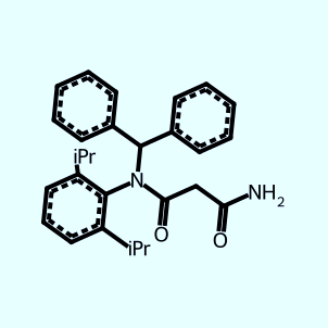 CC(C)c1cccc(C(C)C)c1N(C(=O)CC(N)=O)C(c1ccccc1)c1ccccc1